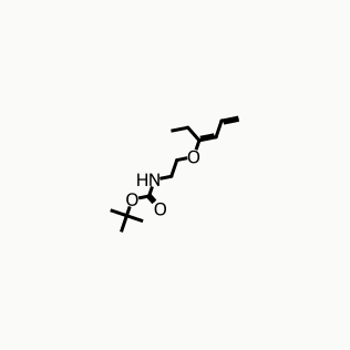 C=C/C=C(\CC)OCCNC(=O)OC(C)(C)C